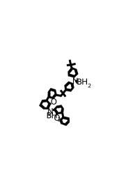 BN(c1ccc(C(C)(C)C)cc1)c1ccc(C(C)(C)Cc2cccc3c2oc2c(N(B)c4cccc5c4oc4ccccc45)cccc23)cc1